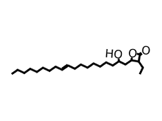 CCCCCCCCC=CCCCCCCCC(O)CC1OC(=O)C1CC